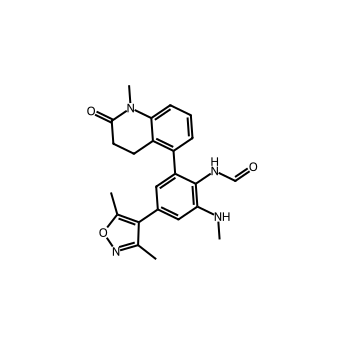 CNc1cc(-c2c(C)noc2C)cc(-c2cccc3c2CCC(=O)N3C)c1NC=O